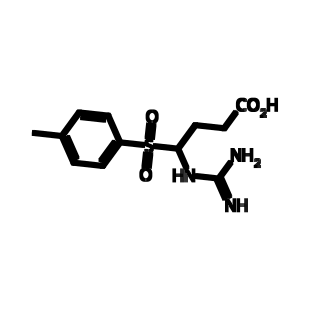 Cc1ccc(S(=O)(=O)C(CCC(=O)O)NC(=N)N)cc1